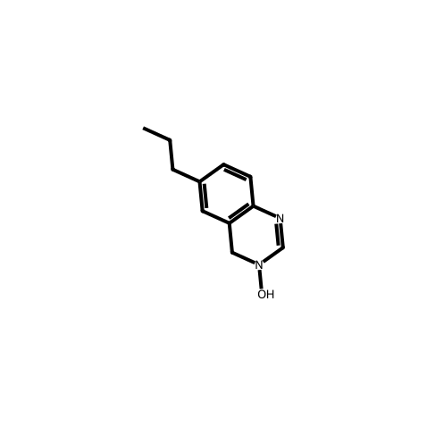 CCCc1ccc2c(c1)CN(O)C=N2